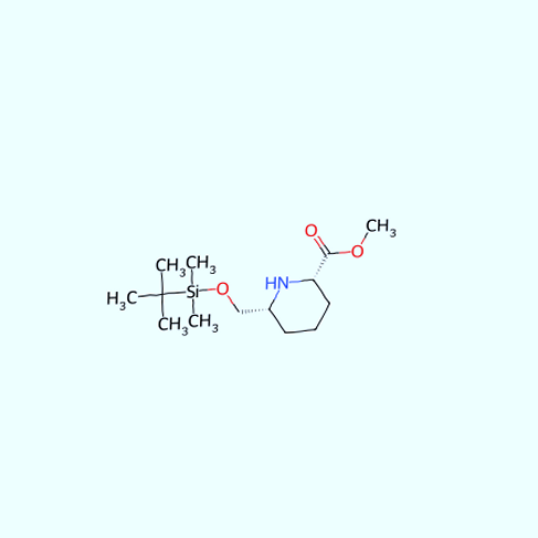 COC(=O)[C@@H]1CCC[C@H](CO[Si](C)(C)C(C)(C)C)N1